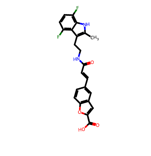 Cc1[nH]c2c(F)ccc(F)c2c1CCNC(=O)C=Cc1ccc2oc(C(=O)O)cc2c1